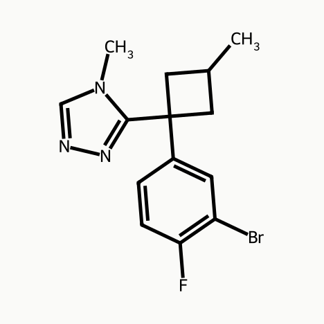 CC1CC(c2ccc(F)c(Br)c2)(c2nncn2C)C1